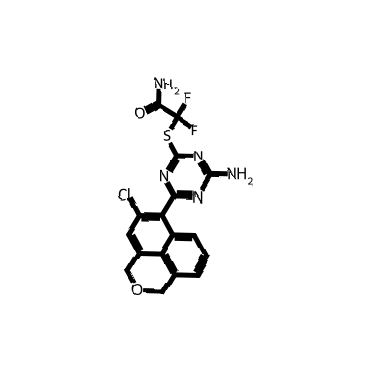 NC(=O)C(F)(F)Sc1nc(N)nc(-c2c(Cl)cc3c4c(cccc24)COC3)n1